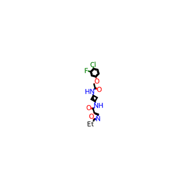 CCc1ncc(C(=O)NC23CC(NC(=O)COc4ccc(Cl)c(F)c4)(C2)C3)o1